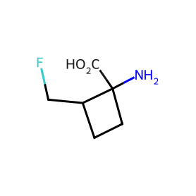 NC1(C(=O)O)CCC1CF